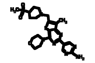 Cc1c(CN2CCC(S(C)(=O)=O)CC2)sc2c(N3CCOCC3)nc(-c3cnc(N)nc3)nc12